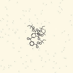 CCC(C)(C)OOC(=O)c1cccc(C(=O)C2=CC(C(=O)OOC(C)(C)CC)C(C(=O)OOC(C)(C)CC)(C(=O)OOC(C)(C)CC)C=C2)c1